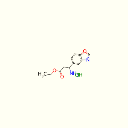 CCOC(=O)CC(N)c1ccc2ocnc2c1.Cl